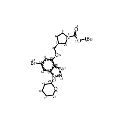 CC(C)(C)OC(=O)N1CC[C@H](COc2cc(Br)cc3c2nnn3C2CCCCO2)C1